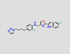 Fc1ccc2[nH]c(-c3nc(CNc4ccc(CCCCn5ccnn5)cc4F)co3)cc2c1